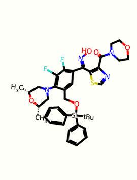 C[C@@H]1CN(c2c(CO[Si](c3ccccc3)(c3ccccc3)C(C)(C)C)cc(/C(=N/O)c3scnc3C(=O)N3CCOCC3)c(F)c2F)C[C@H](C)O1